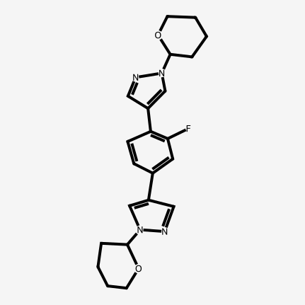 Fc1cc(-c2cnn(C3CCCCO3)c2)ccc1-c1cnn(C2CCCCO2)c1